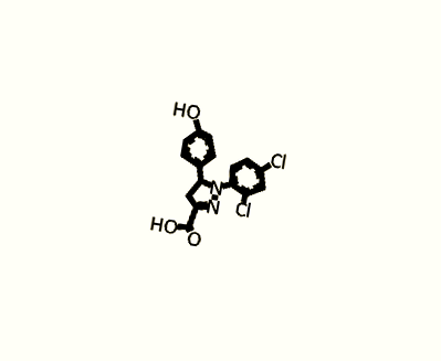 O=C(O)C1=NN(c2ccc(Cl)cc2Cl)C(c2ccc(O)cc2)C1